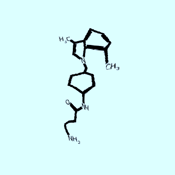 Cc1cn(C2CCC(NC(=O)CCN)CC2)c2c(C)cccc12